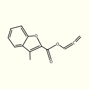 C=C=COC(=O)c1oc2ccccc2c1C